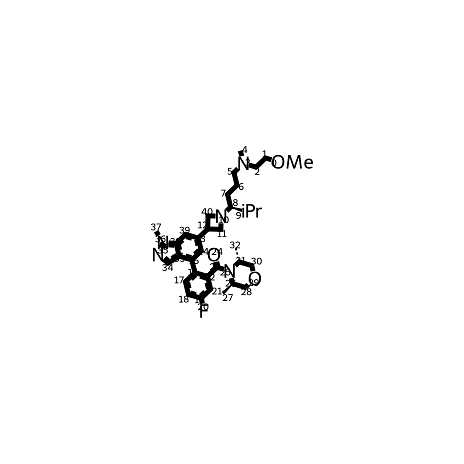 COCCN(C)CCC[C@@H](C(C)C)N1CC(c2cc(-c3ccc(F)cc3C(=O)N3[C@H](C)COC[C@H]3C)c3cnn(C)c3c2)C1